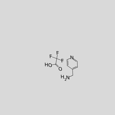 NCc1ccncc1.O=C(O)C(F)(F)F